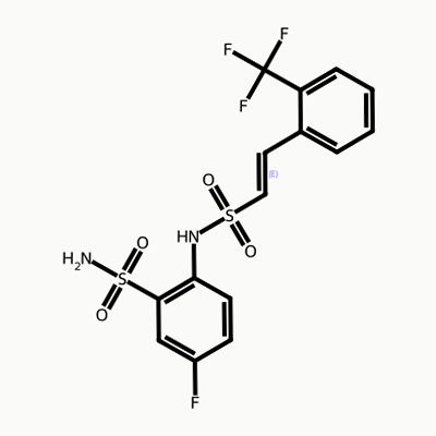 NS(=O)(=O)c1cc(F)ccc1NS(=O)(=O)/C=C/c1ccccc1C(F)(F)F